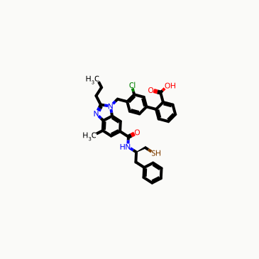 CCCc1nc2c(C)cc(C(=O)N[C@@H](CS)Cc3ccccc3)cc2n1Cc1ccc(-c2ccccc2C(=O)O)cc1Cl